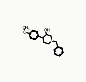 COc1ccc(C2CCN(Cc3ccccc3)CC2O)cc1